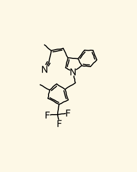 C/C(C#N)=C/c1cn(Cc2cc(C)cc(C(F)(F)F)c2)c2ccccc12